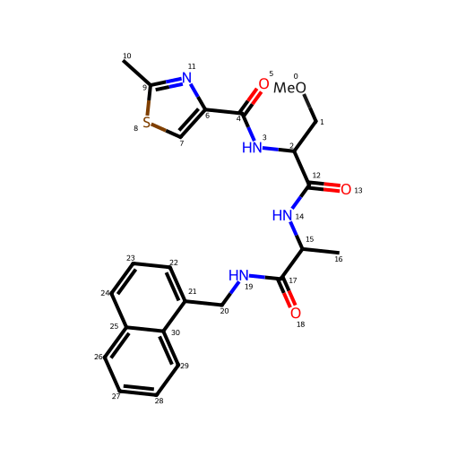 COCC(NC(=O)c1csc(C)n1)C(=O)NC(C)C(=O)NCc1cccc2ccccc12